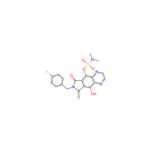 CN(C)S(=O)(=O)Oc1c2c(c(O)c3nccnc13)C(=O)N(Cc1ccc(F)cc1)C2=O